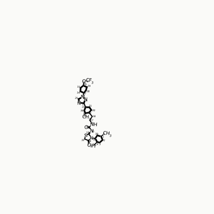 Cc1ccc(C(C)C)c(N2C(=O)CS/C2=N\C(=O)NCCc2ccc(-c3ncn(-c4ccc(OC(F)(F)F)cc4)n3)cc2C)c1